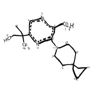 CC(O)(c1cnc(C(=O)O)c(N2CCC3(CC2)CC3)n1)C(F)(F)F